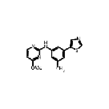 COc1ccnc(Nc2cc(C)cc(-c3cncs3)c2)n1